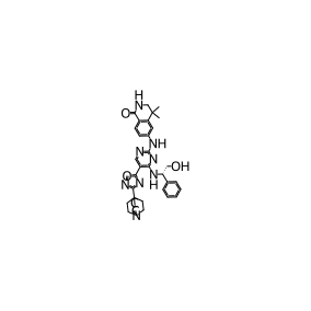 CC1(C)CNC(=O)c2ccc(Nc3ncc(-c4nc(C56CCN(CC5)CC6)no4)c(N[C@H](CO)c4ccccc4)n3)cc21